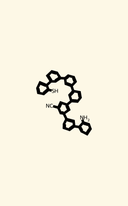 N#Cc1cc(-c2cccc(-c3cccc(-c4cccc(-c5ccccc5S)c4)c3)c2)cc(-c2cccc(-c3ccccc3N)c2)c1